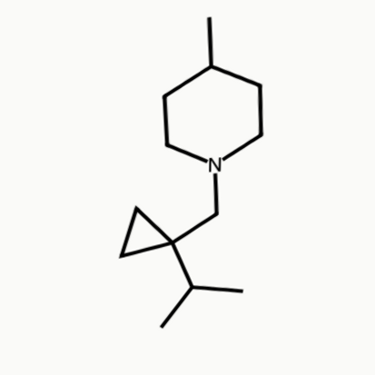 CC1CCN(CC2(C(C)C)CC2)CC1